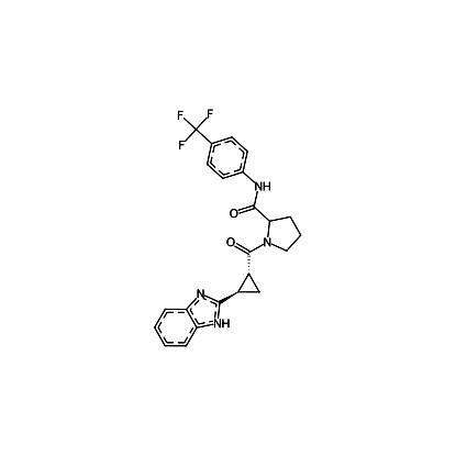 O=C(Nc1ccc(C(F)(F)F)cc1)C1CCCN1C(=O)[C@@H]1C[C@H]1c1nc2ccccc2[nH]1